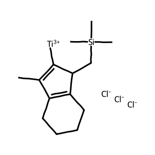 CC1=[C]([Ti+3])C(C[Si](C)(C)C)C2=C1CCCC2.[Cl-].[Cl-].[Cl-]